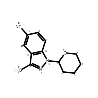 Bc1nn(C2CCCCO2)c2ccc(C#N)cc12